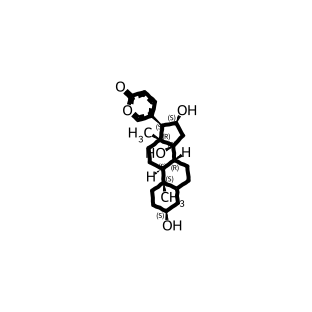 C[C@]12CC[C@H](O)CC1CC[C@@H]1[C@@H]2CC[C@]2(C)[C@@H](c3ccc(=O)oc3)[C@@H](O)C[C@]12O